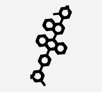 Cc1cncc(-c2ccc(-c3c4ccccc4c(-c4ccc(-c5ccncc5C)c5ccccc45)c4ccccc34)cc2)c1